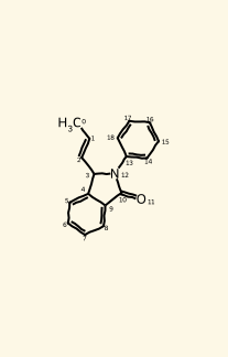 CC=CC1c2ccccc2C(=O)N1c1ccccc1